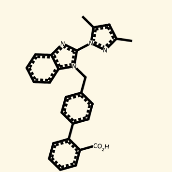 Cc1cc(C)n(-c2nc3ccccc3n2Cc2ccc(-c3ccccc3C(=O)O)cc2)n1